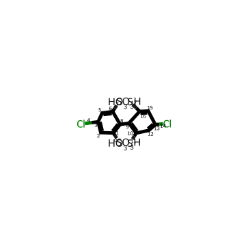 O=S(=O)(O)c1cc(Cl)cc(S(=O)(=O)O)c1-c1c(S(=O)(=O)O)cc(Cl)cc1S(=O)(=O)O